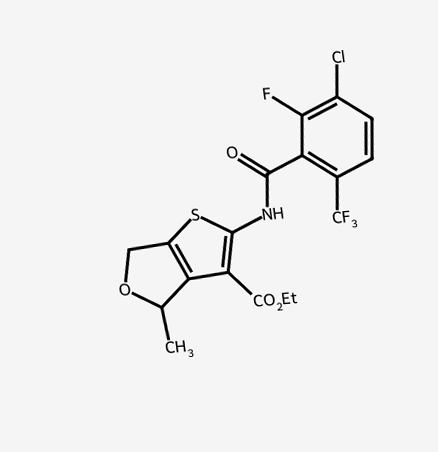 CCOC(=O)c1c(NC(=O)c2c(C(F)(F)F)ccc(Cl)c2F)sc2c1C(C)OC2